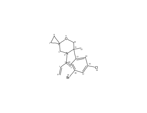 C=CC(=O)N1CC2(CC2)OCC1(C)c1cc(Cl)cc(Br)c1